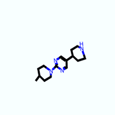 CC1CCN(c2ncc(C3CCNCC3)cn2)CC1